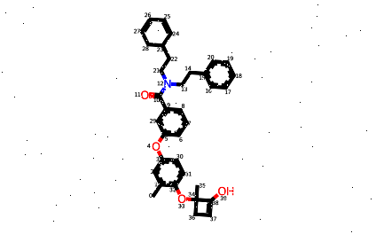 Cc1cc(Oc2cccc(C(=O)N(CCc3ccccc3)CCC3C=CC=CC3)c2)ccc1OC1(C)CC=C1O